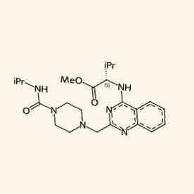 COC(=O)[C@@H](Nc1nc(CN2CCN(C(=O)NC(C)C)CC2)nc2ccccc12)C(C)C